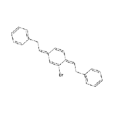 Brc1cc(=CCc2ccccc2)ccc1=CCc1ccccc1